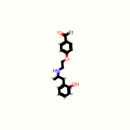 CCC(=O)c1ccc(OCCNC(C)Cc2ccccc2O)cc1